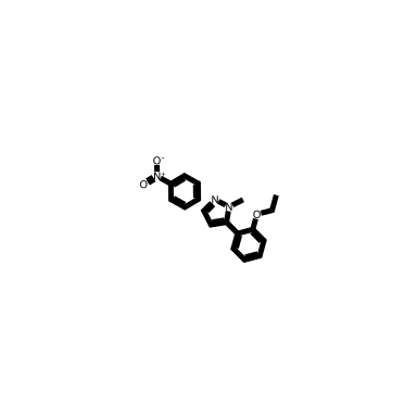 CCOc1ccccc1-c1ccnn1C.O=[N+]([O-])c1ccccc1